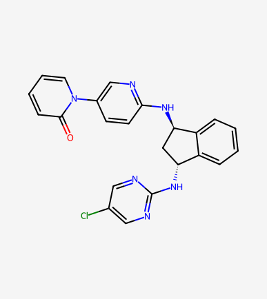 O=c1ccccn1-c1ccc(N[C@@H]2C[C@@H](Nc3ncc(Cl)cn3)c3ccccc32)nc1